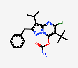 CC(C)c1c(Cc2ccccc2)nn2c(OC(N)=O)c(C(C)(C)C)c(Cl)nc12